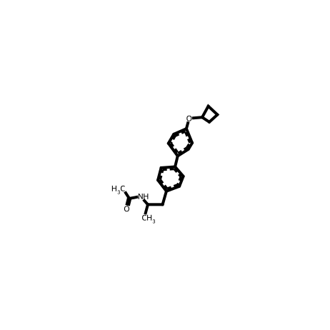 CC(=O)NC(C)Cc1ccc(-c2ccc(OC3CCC3)cc2)cc1